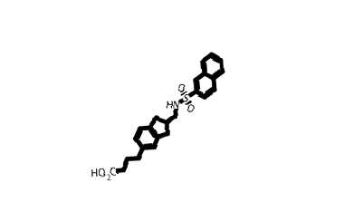 O=C(O)CCCc1ccc2c(c1)CC(CNS(=O)(=O)c1ccc3ccccc3c1)C2